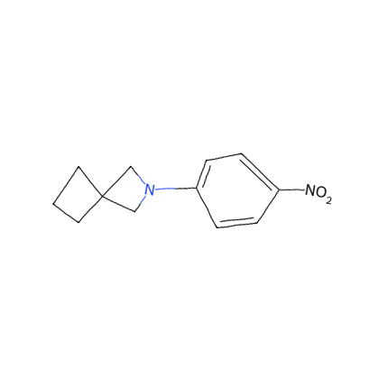 O=[N+]([O-])c1ccc(N2CC3(CCC3)C2)cc1